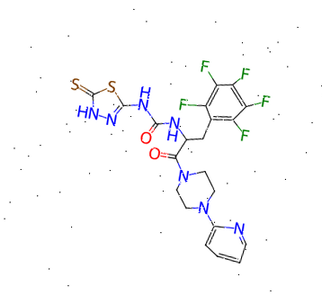 O=C(Nc1n[nH]c(=S)s1)NC(Cc1c(F)c(F)c(F)c(F)c1F)C(=O)N1CCN(c2ccccn2)CC1